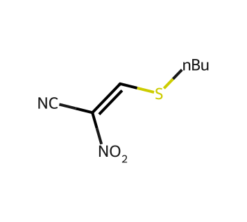 CCCCSC=C(C#N)[N+](=O)[O-]